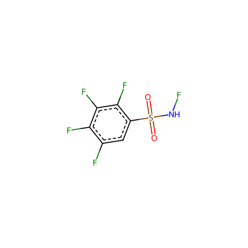 O=S(=O)(NF)c1cc(F)c(F)c(F)c1F